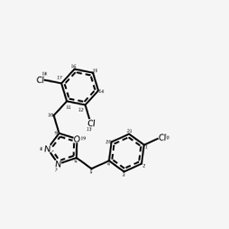 Clc1ccc(Cc2nnc(Cc3c(Cl)cccc3Cl)o2)cc1